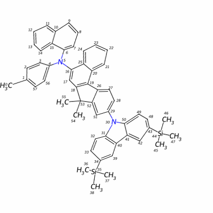 Cc1ccc(N(c2cccc3ccccc23)c2cc3c(c4ccccc24)-c2ccc(-n4c5ccc([Si](C)(C)C)cc5c5cc([Si](C)(C)C)ccc54)cc2C3(C)C)cc1